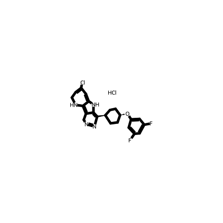 Cl.Fc1cc(F)cc(O[C@H]2CC[C@H](C3=c4[nH]c5c(c4CN=N3)NCC=C(Cl)C=5)CC2)c1